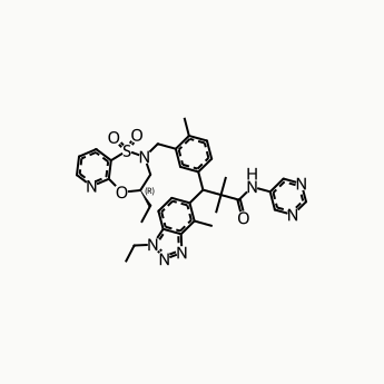 CC[C@@H]1CN(Cc2cc(C(c3ccc4c(nnn4CC)c3C)C(C)(C)C(=O)Nc3cncnc3)ccc2C)S(=O)(=O)c2cccnc2O1